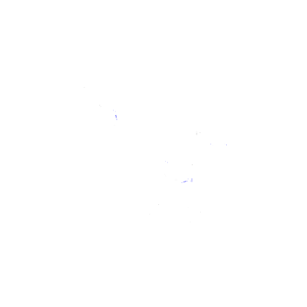 CC(C)n1nccc1C(=O)N[C@H](C(=O)Nc1ccc2c(c1)OC[C@H]2NC(=O)OC(C)(C)C)C(C1CC1)C1CC1